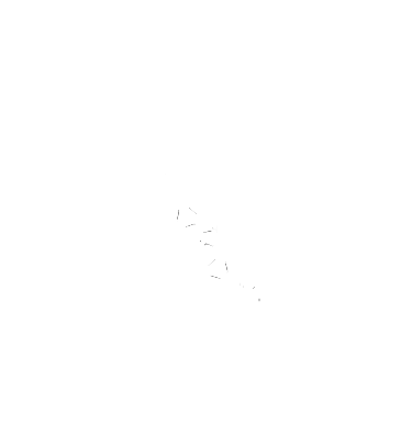 CCCCCCCCCCc1ccc(-c2noc(-c3cccc(CNC(=O)O)c3)n2)cc1